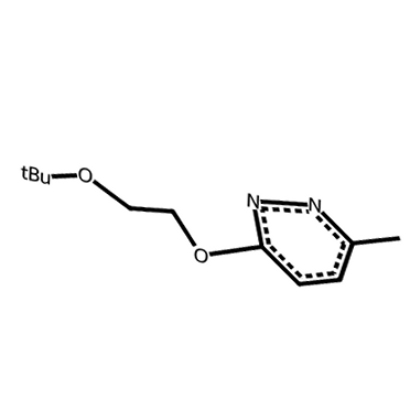 Cc1ccc(OCCOC(C)(C)C)nn1